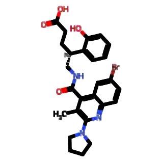 Cc1c(N2CCCC2)nc2ccc(Br)cc2c1C(=O)NC[C@H](CCC(=O)O)c1ccccc1O